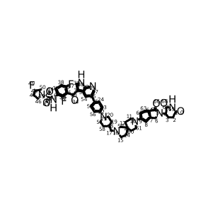 O=C1CCC(N2Cc3cc(N4CCC5(CCN(CC6CCN(c7ccc(-c8cnc9[nH]cc(C(=O)c%10c(F)ccc(NS(=O)(=O)N%11CC[C@@H](F)C%11)c%10F)c9c8)cc7)CC6)C5)CC4)ccc3C2=O)C(=O)N1